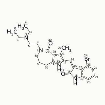 CCN(CC)CCN1CCCc2[nH]c(/C=C3\C(=O)Nc4cccc(Br)c43)c(C)c2C1=O